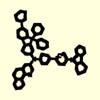 c1ccc(-c2ccc3c(c2)C(c2ccccc2)(c2ccccc2)c2cc(N(c4ccc(-c5ccc(-n6c7ccccc7c7ccccc76)cc5)cc4)c4cnc5c(ccc6ccccc65)c4)ccc2-3)cc1